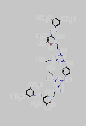 Cc1c(N=Nc2cc(C(=O)O)cc(C(=O)O)c2)c(O)n(CCNc2nc(NCCO)nc(Nc3ccc(Nc4nc(NCCO)nc(NCCn5c(O)c(N=Nc6cc(C(=O)O)cc(C(=O)O)c6)c(C)c(C#N)c5=O)n4)cc3)n2)c(=O)c1C#N